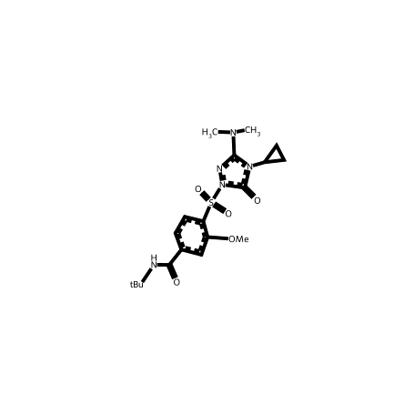 COc1cc(C(=O)NC(C)(C)C)ccc1S(=O)(=O)n1nc(N(C)C)n(C2CC2)c1=O